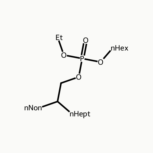 CCCCCCCCCC(CCCCCCC)COP(=O)(OCC)OCCCCCC